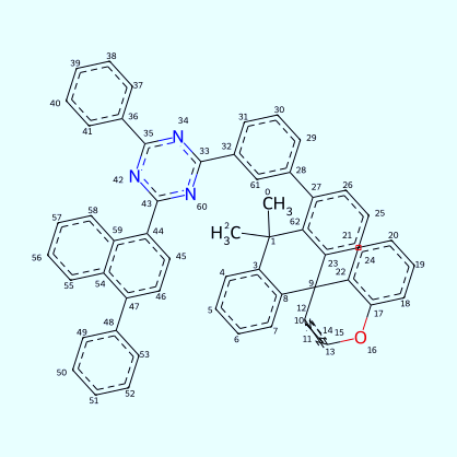 CC1(C)c2ccccc2C2(c3ccccc3Oc3ccccc32)c2cccc(-c3cccc(-c4nc(-c5ccccc5)nc(-c5ccc(-c6ccccc6)c6ccccc56)n4)c3)c21